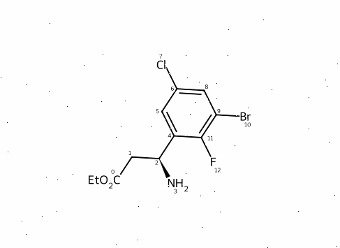 CCOC(=O)C[C@H](N)c1cc(Cl)cc(Br)c1F